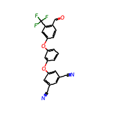 N#Cc1cc(C#N)cc(Oc2cccc(Oc3ccc(C=O)c(C(F)(F)F)c3)c2)c1